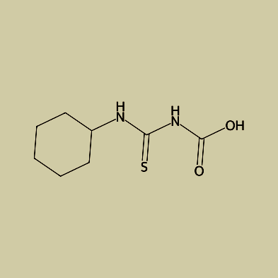 O=C(O)NC(=S)NC1CCCCC1